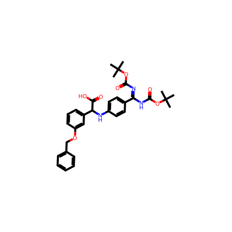 CC(C)(C)OC(=O)/N=C(/NC(=O)OC(C)(C)C)c1ccc(NC(C(=O)O)c2cccc(OCc3ccccc3)c2)cc1